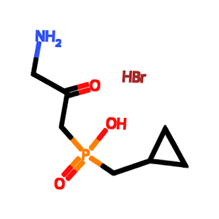 Br.NCC(=O)CP(=O)(O)CC1CC1